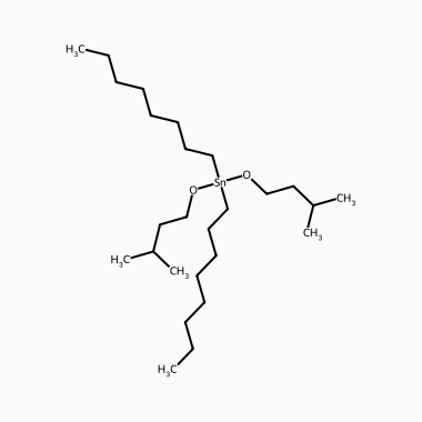 CCCCCCC[CH2][Sn]([CH2]CCCCCCC)([O]CCC(C)C)[O]CCC(C)C